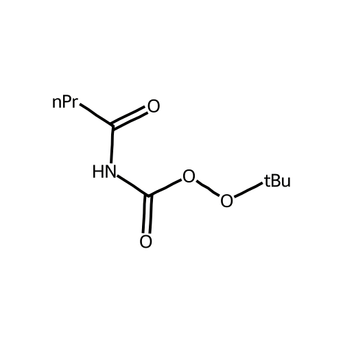 CCCC(=O)NC(=O)OOC(C)(C)C